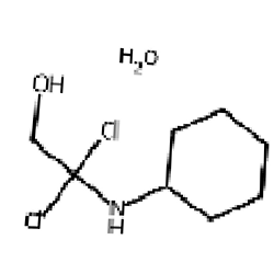 O.OCC(Cl)(Cl)NC1CCCCC1